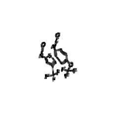 O=C=Nc1cc(C(F)(F)F)cs1.O=C=Nc1ccc(OC(F)(F)F)cc1